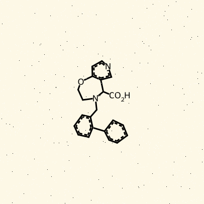 O=C(O)C1c2cnccc2OCCN1Cc1ccccc1-c1ccccc1